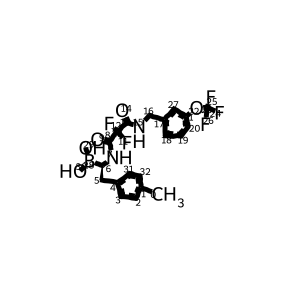 Cc1ccc(C[C@H](NC(=O)C(F)(F)C(=O)NCc2cccc(OC(F)(F)F)c2)B(O)O)cc1